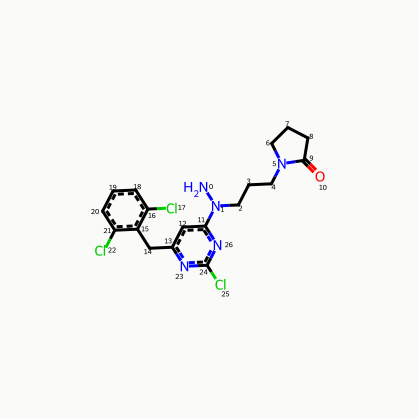 NN(CCCN1CCCC1=O)c1cc(Cc2c(Cl)cccc2Cl)nc(Cl)n1